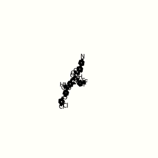 N#Cc1ccc(-c2ccc(CC(NC(=O)C3Cc4cc5c(cc4CN3C(=O)c3cccc(C(F)(F)F)c3)OC(c3ccc(OCc4ccc(Cl)c(Cl)c4)cc3)C(=O)N5)C(=O)O)cc2)cc1